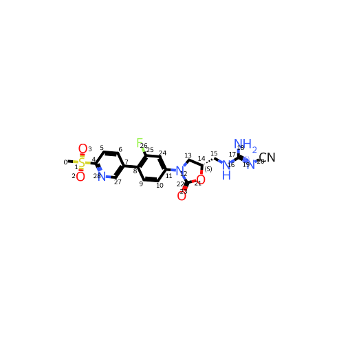 CS(=O)(=O)c1ccc(-c2ccc(N3C[C@H](CN/C(N)=N/C#N)OC3=O)cc2F)cn1